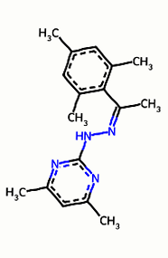 CC(=NNc1nc(C)cc(C)n1)c1c(C)cc(C)cc1C